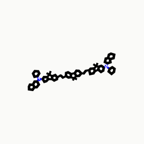 CC1(C)c2cc(/C=C/c3ccc4c(c3)C(C)(C)c3cc(N(c5ccccc5)c5ccc6ccccc6c5)ccc3-4)ccc2-c2ccc(/C=C/c3ccc4c(c3)C(C)(C)c3cc(N(c5ccccc5)c5ccc6ccccc6c5)ccc3-4)cc21